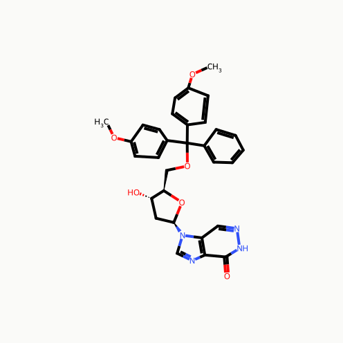 COc1ccc(C(OC[C@H]2O[C@@H](n3cnc4c(=O)[nH]ncc43)C[C@@H]2O)(c2ccccc2)c2ccc(OC)cc2)cc1